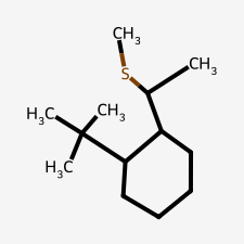 CSC(C)C1CCCCC1C(C)(C)C